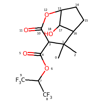 CC1(C)C(C(=O)OC(C(F)(F)F)C(F)(F)F)C(=O)OC2CCC1C2O